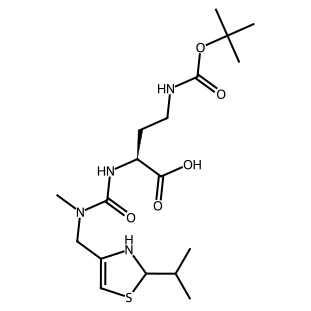 CC(C)C1NC(CN(C)C(=O)N[C@@H](CCNC(=O)OC(C)(C)C)C(=O)O)=CS1